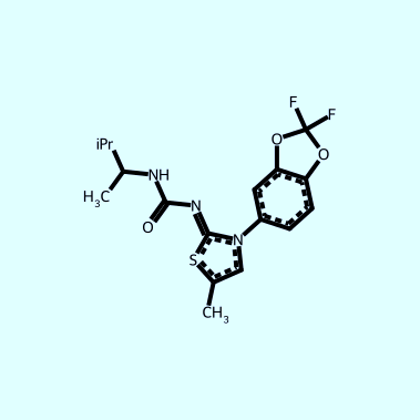 Cc1cn(-c2ccc3c(c2)OC(F)(F)O3)/c(=N/C(=O)NC(C)C(C)C)s1